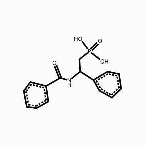 O=C(NC(CP(=O)(O)O)c1ccccc1)c1ccccc1